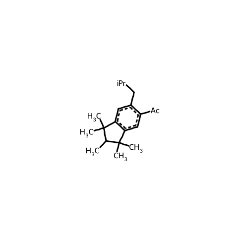 CC(=O)c1cc2c(cc1CC(C)C)C(C)(C)C(C)C2(C)C